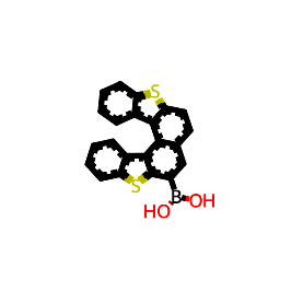 OB(O)c1cc2ccc3sc4ccccc4c3c2c2c1sc1ccccc12